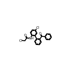 O=C(CCl)Nc1ccc(Cl)cc1-c1ccccc1C(=O)c1ccccc1